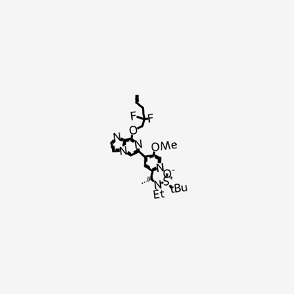 C=CCC(F)(F)COc1nc(-c2cc([C@@H](C)N(CC)[S+]([O-])C(C)(C)C)ncc2OC)cn2ccnc12